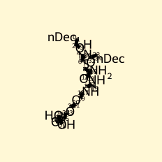 CCCCCCCCCCCCOC[C@H](CSC[C@H](N)C(=O)N[C@@H](C)CNCCOCCOCCP(=O)(O)O)NC(=O)CCCCCCCCCCC